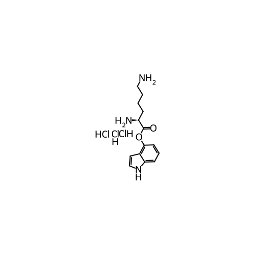 Cl.Cl.Cl.NCCCC[C@H](N)C(=O)Oc1cccc2[nH]ccc12